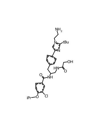 CC(C)Oc1ccc(C(=O)NC(CNC(=O)CO)Cc2ccc(-c3cn(CCN)c(C(C)(C)C)n3)cc2)cc1Cl